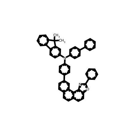 CC1(C)c2ccccc2-c2ccc(N(c3ccc(-c4ccccc4)cc3)c3ccc(-c4ccc5ccc6ccc7oc(-c8ccccc8)nc7c6c5c4)cc3)cc21